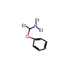 CCC(Oc1cc[c]cc1)N(CC)CC